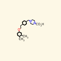 Cc1ccc(OCCc2ccc(CN3CCN(C(=O)O)CC3)cc2)cc1C